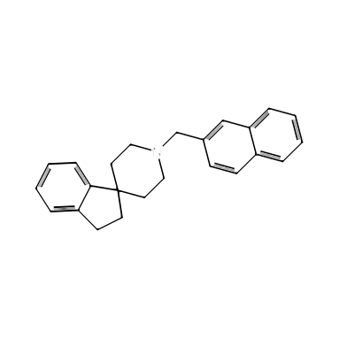 c1ccc2c(c1)CCC21CCN(Cc2ccc3ccccc3c2)CC1